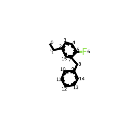 C[CH]c1ccc(F)c(Cc2ccccc2)c1